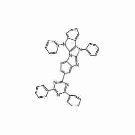 c1ccc(-c2nc(-c3ccccc3)nc(-c3ccc4c(c3)nc3n(-c5ccccc5)c5c6ccccc6n(-c6ccccc6)c5n43)n2)cc1